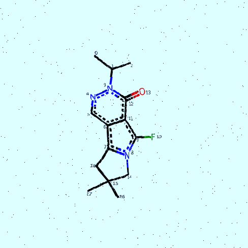 CC(C)n1ncc2c3n(c(F)c2c1=O)CC(C)(C)C3